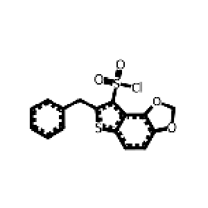 O=S(=O)(Cl)c1c(Cc2ccccc2)sc2ccc3c(c12)OCO3